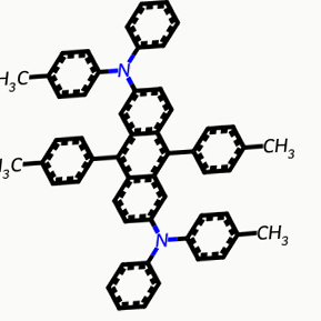 Cc1ccc(-c2c3ccc(N(c4ccccc4)c4ccc(C)cc4)cc3c(-c3ccc(C)cc3)c3ccc(N(c4ccccc4)c4ccc(C)cc4)cc23)cc1